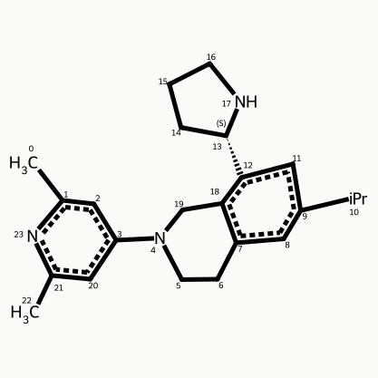 Cc1cc(N2CCc3cc(C(C)C)cc([C@@H]4CCCN4)c3C2)cc(C)n1